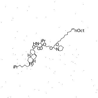 CCCCCCCC/C=C\CCCCCCCCOCC(CN1CCCCC1)OCCOC(=O)[C@@H](NC(=O)OC1CC[C@@]2(C)C(=CC[C@H]3[C@@H]4CC[C@H]([C@H](C)CCCC(C)C)[C@@]4(C)CC[C@@H]32)C1)C(C)C